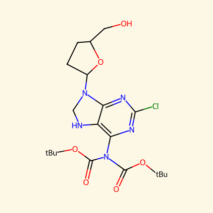 CC(C)(C)OC(=O)N(C(=O)OC(C)(C)C)c1nc(Cl)nc2c1NCN2C1CCC(CO)O1